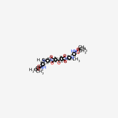 CN(c1ccc(NC(=O)OC(C)(C)C)cc1)c1ccc(N2C(=O)c3ccc(C(=O)c4ccc5c(c4)C(=O)N(c4ccc(N(C)c6ccc(NC(=O)OC(C)(C)C)cc6)cc4)C5=O)cc3C2=O)cc1